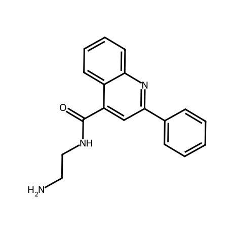 NCCNC(=O)c1cc(-c2ccccc2)nc2ccccc12